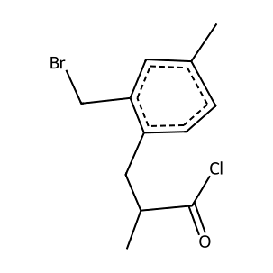 Cc1ccc(CC(C)C(=O)Cl)c(CBr)c1